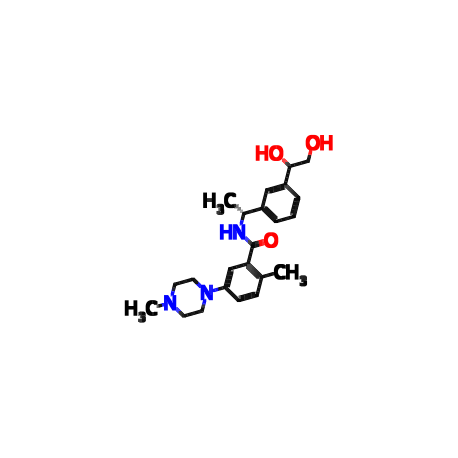 Cc1ccc(N2CCN(C)CC2)cc1C(=O)N[C@H](C)c1cccc(C(O)CO)c1